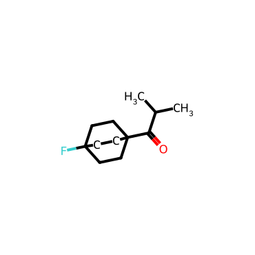 CC(C)C(=O)C12CCC(F)(CC1)CC2